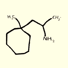 [CH2]C(N)CC1(C)CCCCC1